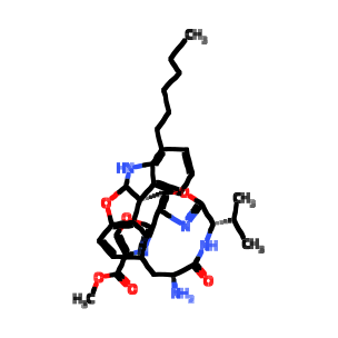 CCCCCCc1cccc2c1NC1Oc3ccc4cc3[C@]21c1oc(nc1-c1nc(C(=O)OC)co1)[C@H](C(C)C)NC(=O)[C@@H](N)C4